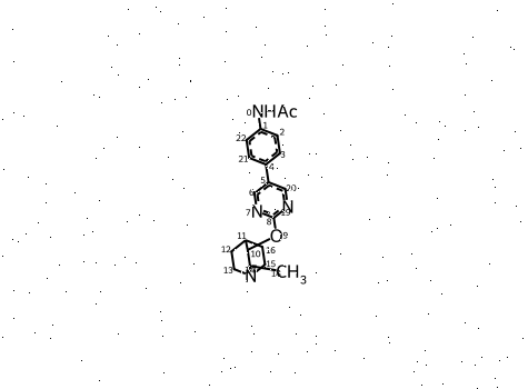 CC(=O)Nc1ccc(-c2cnc(OC3C4CCN(CC4)C3C)nc2)cc1